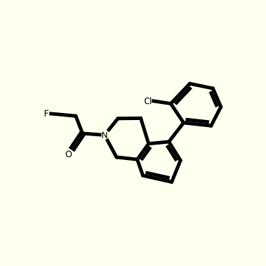 O=C(CF)N1CCc2c(cccc2-c2ccccc2Cl)C1